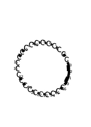 [C]1=C\C=C/CCCCCCCCCCCCCCCCCCCCCCC/1